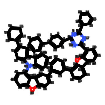 c1ccc(-c2ccc(-c3nc(-c4ccccc4)nc(-c4cccc5c4oc4c(-c6cccc(-c7ccc8oc9cccc(-n%10c%11ccccc%11c%11cc(-c%12ccccc%12)ccc%11%10)c9c8c7)c6)cccc45)n3)cc2)cc1